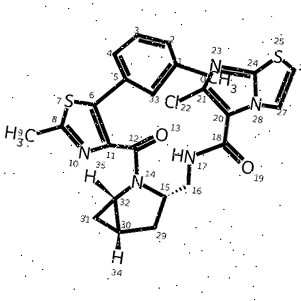 Cc1cccc(-c2sc(C)nc2C(=O)N2[C@H](CNC(=O)c3c(Cl)nc4sccn34)C[C@@H]3C[C@@H]32)c1